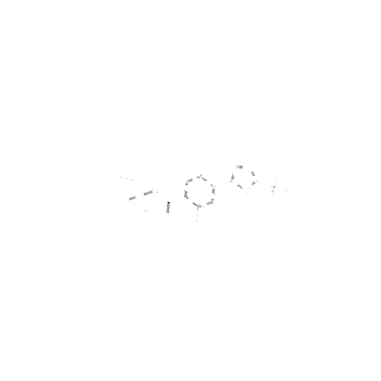 CCS(C)(=O)=NC(=O)c1ccc(-c2noc(C(F)(F)F)n2)cc1F